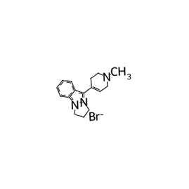 CN1CC=C(c2c3ccccc3[n+]3n2CCC3)CC1.[Br-]